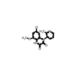 COc1cc(Cl)cc2c1[nH]c(=O)c(=O)n2-c1cccnc1C